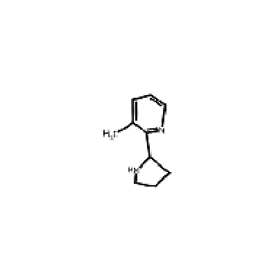 Cc1cccnc1C1CCCN1